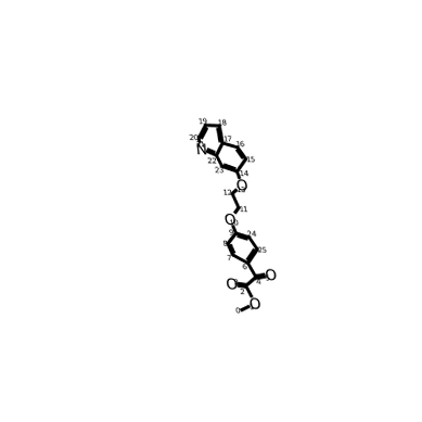 COC(=O)C(=O)c1ccc(OCCOc2ccc3cccnc3c2)cc1